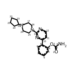 NC(=O)Oc1ccccc1-c1ccnc(N2CCN(C3CCCC3)CC2)n1